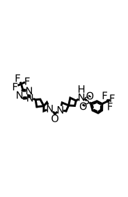 O=C(N1CC2(CC(NS(=O)(=O)c3cccc(C(F)(F)F)c3)C2)C1)N1CC2(CC(n3cnc(C(F)(F)F)n3)C2)C1